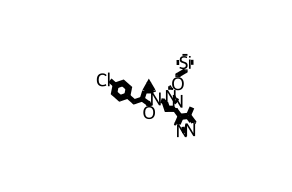 Cc1cnncc1-c1cc(N2C(=O)C(Cc3ccc(Cl)cc3)C3CC32)n(COCC[Si](C)(C)C)n1